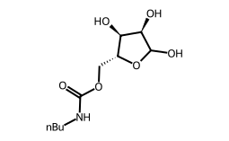 CCCCNC(=O)OC[C@H]1OC(O)[C@H](O)[C@@H]1O